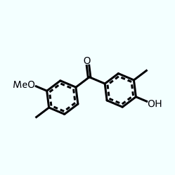 COc1cc(C(=O)c2ccc(O)c(C)c2)ccc1C